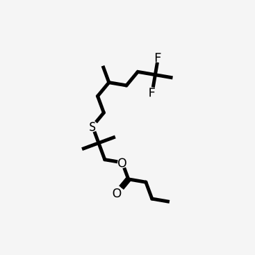 CCCC(=O)OCC(C)(C)SCCC(C)CCC(C)(F)F